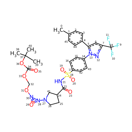 Cc1ccc(-c2cc(C(F)(F)F)nn2-c2ccc(S(=O)(=O)NC(=O)C3CCN(n4on4OCOC(=O)OC(C)(C)C)C3)cc2)cc1